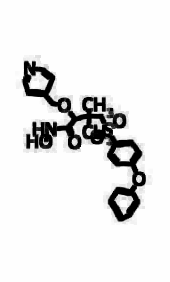 CC(C)(CS(=O)(=O)c1ccc(Oc2ccccc2)cc1)C(OCc1ccncc1)C(=O)NO